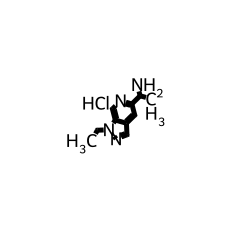 CCn1ncc2cc(C(C)N)ncc21.Cl